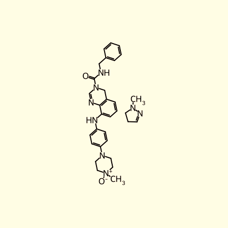 CN1CCC=N1.C[N+]1([O-])CCN(c2ccc(Nc3cccc4c3N=CN(C(=O)NCc3ccccc3)C4)cc2)CC1